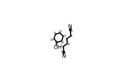 N#CCCCCC#N.OC1CCCCC1